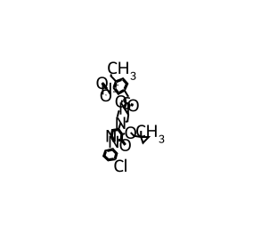 CCc1ccc(CS(=O)(=O)N2CCN(c3cnn(-c4cccc(Cl)c4)c(=O)c3OCC3(C)CC3)CC2)cc1[N+](=O)[O-]